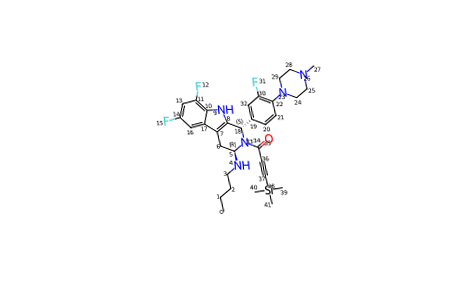 CCCCN[C@H]1Cc2c([nH]c3c(F)cc(F)cc23)[C@H](c2ccc(N3CCN(C)CC3)c(F)c2)N1C(=O)C#C[Si](C)(C)C